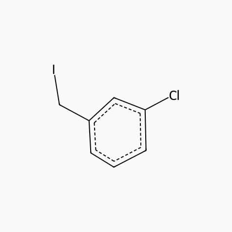 Clc1cccc(CI)c1